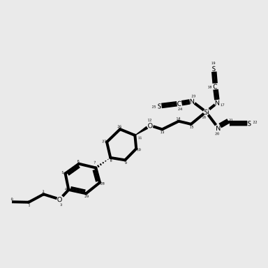 CCCOc1ccc([C@H]2CC[C@H](OCCC[Si](N=C=S)(N=C=S)N=C=S)CC2)cc1